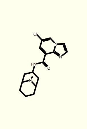 CN1C2CCCC1CC(NC(=O)c1cc(Cl)cn3ccnc13)C2